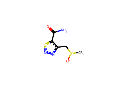 NC(=O)c1snnc1C[S+]([O-])C(F)(F)F